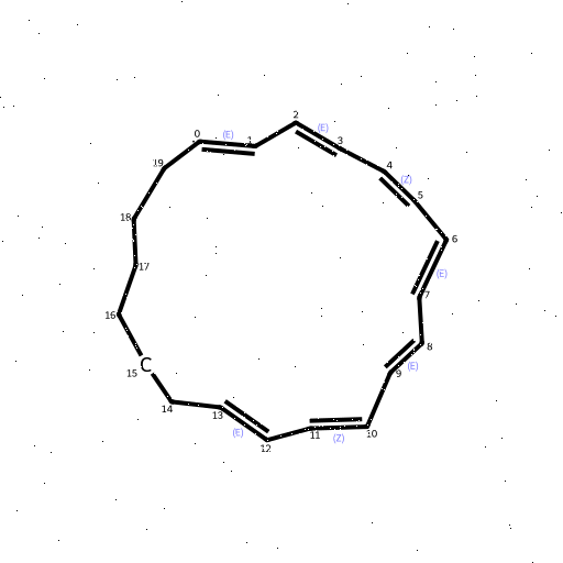 [C]1=C/C=C/C=C\C=C\C=C\C=C/C=C/CCCCCC/1